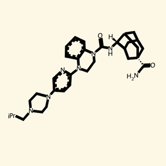 CC(C)CN1CCN(c2ccc(N3CCN(C(=O)N[C@H]4C5CC6CC4C[C@@](C(N)=O)(C6)C5)c4ccccc43)nc2)CC1